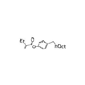 C=C(CC)C(=O)Oc1ccc(CCCCCCCCC)cc1